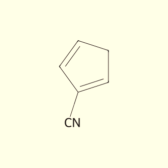 N#CC1=CCC=C1